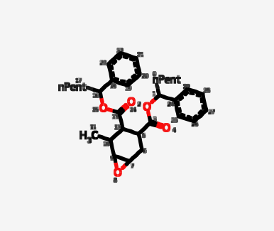 CCCCCC(OC(=O)C1CC2OC2C(C)C1C(=O)OC(CCCCC)c1ccccc1)c1ccccc1